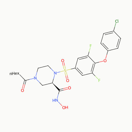 CCCCCCC(=O)N1CCN(S(=O)(=O)c2cc(F)c(Oc3ccc(Cl)cc3)c(F)c2)[C@@H](C(=O)NO)C1